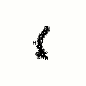 Cc1c(C#N)cc(C(=O)O)c2oc(-c3ccc(NC(=O)CN4CCN(c5ccc(C(F)(F)F)cc5)CC4)cc3)nc12